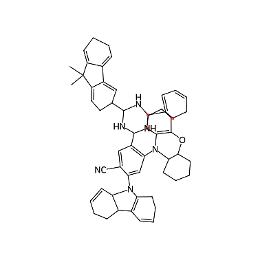 CC1(C)C2=CCCC=C2C2=CC(C3NC(C4=CC=CCC4)NC(c4cc(C#N)c(N5C6=C(C=CCC6)C6CCC=CC65)cc4N4C5=C(CCCC5)OC5CCCCC54)N3)CC=C21